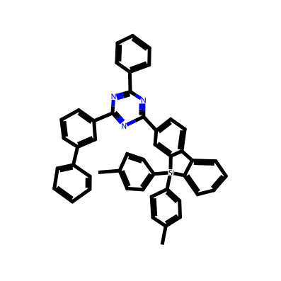 Cc1ccc([Si]2(c3ccc(C)cc3)c3ccccc3-c3ccc(-c4nc(-c5ccccc5)nc(-c5cccc(-c6ccccc6)c5)n4)cc32)cc1